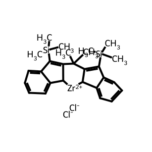 CC1(C)C2=C([Si](C)(C)C)c3ccccc3[CH]2[Zr+2][CH]2C1=C([Si](C)(C)C)c1ccccc12.[Cl-].[Cl-]